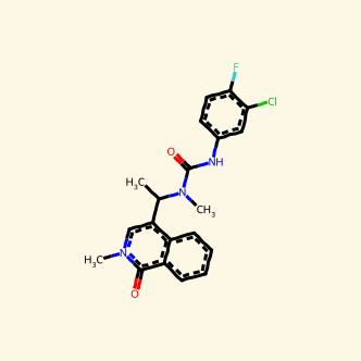 CC(c1cn(C)c(=O)c2ccccc12)N(C)C(=O)Nc1ccc(F)c(Cl)c1